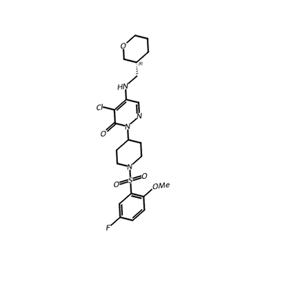 COc1ccc(F)cc1S(=O)(=O)N1CCC(n2ncc(NC[C@H]3CCCOC3)c(Cl)c2=O)CC1